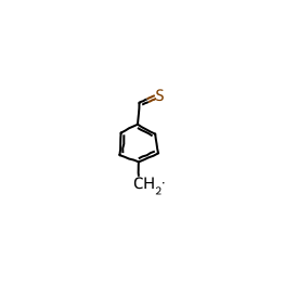 [CH2]c1ccc(C=S)cc1